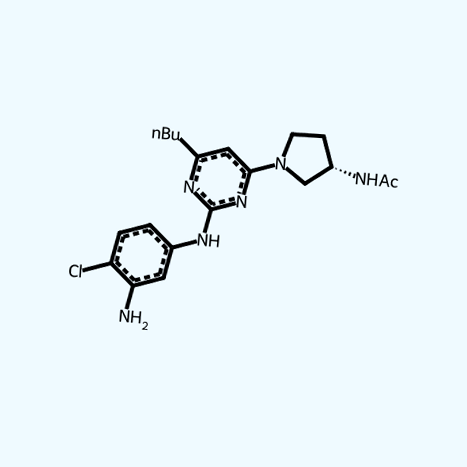 CCCCc1cc(N2CC[C@H](NC(C)=O)C2)nc(Nc2ccc(Cl)c(N)c2)n1